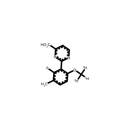 [2H]C([2H])([2H])Oc1ccc(C)c(F)c1-c1nccc(C(=O)O)n1